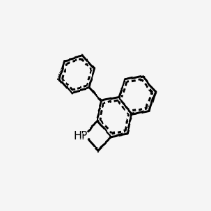 c1ccc(-c2c3c(cc4ccccc24)CP3)cc1